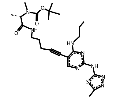 CCCNc1nc(Nc2nnc(C)s2)ncc1C#CCCCNC(=O)[C@H](C)N(C)C(=O)OC(C)(C)C